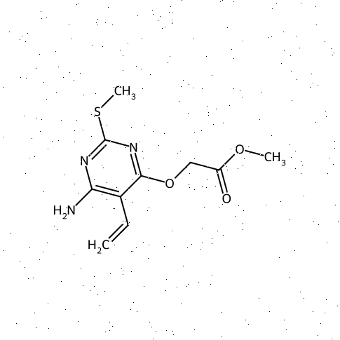 C=Cc1c(N)nc(SC)nc1OCC(=O)OC